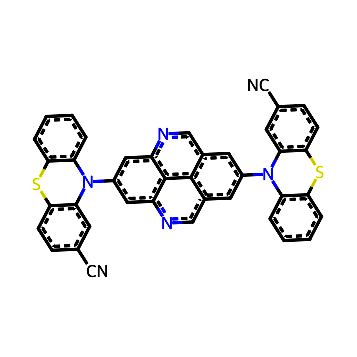 N#Cc1ccc2c(c1)N(c1cc3cnc4cc(N5c6ccccc6Sc6ccc(C#N)cc65)cc5ncc(c1)c3c45)c1ccccc1S2